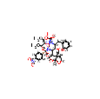 CCC(CC)ON(C([C@H](O)[C@H](Cc1ccccc1)NC(=O)O)[C@@H]1CO[C@H]2OCC[C@H]21)S(=O)(=O)c1ccc([N+](=O)[O-])cc1